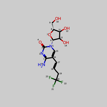 Nc1nc(=O)n([C@@H]2O[C@H](CO)C(O)C2O)cc1C=CCC(F)(F)F